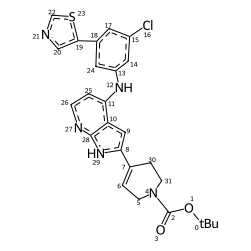 CC(C)(C)OC(=O)N1CC=C(c2cc3c(Nc4cc(Cl)cc(-c5cncs5)c4)ccnc3[nH]2)CC1